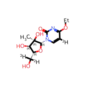 [2H]c1cn([C@@H]2O[C@H](C([2H])([2H])O)[C@@H](O)[C@@]2(C)O)c(=O)nc1OCC